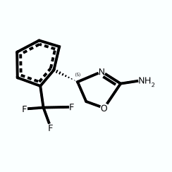 NC1=N[C@@H](c2ccccc2C(F)(F)F)CO1